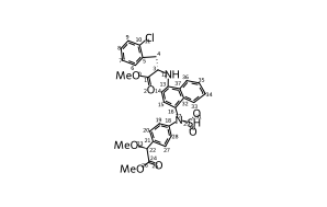 COC(=O)[C@H](Cc1ccccc1Cl)Nc1ccc(N(c2ccc([C@H](OC)C(=O)OC)cc2)[SH](=O)=O)c2ccccc12